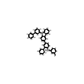 Cc1cccc(Nc2ccc(-c3ccc4c(c3)c3ccccc3n4-c3cccc(-c4ccccc4)c3)cc2C2C=CC=CC2)c1